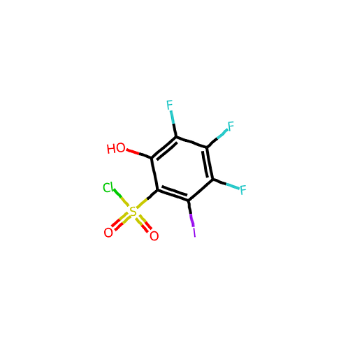 O=S(=O)(Cl)c1c(O)c(F)c(F)c(F)c1I